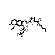 CCCCOC(=O)c1nnc(N=Nc2cc3c(cc2NS(=O)(=O)CC(F)(F)F)N(CC)C(C)CC3)s1